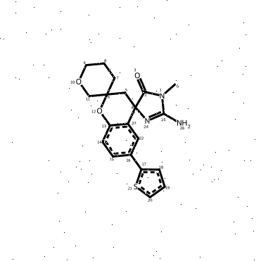 CN1C(=O)C2(CC3(CCCOC3)Oc3ccc(-c4cccs4)cc32)N=C1N